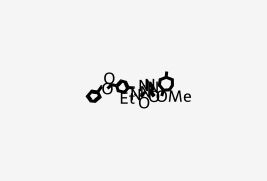 CCN(CC1=CC=C(C(=O)OCc2ccccc2)CC1)C(=O)n1nnn(C2CC(C)CCCC2OC)c1=O